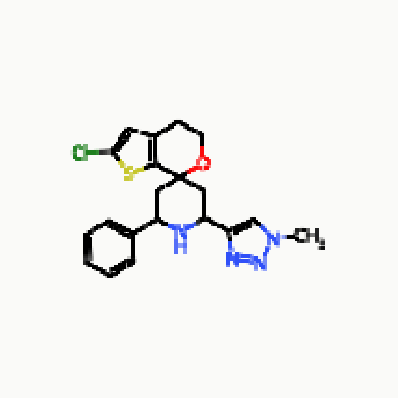 Cn1cc(C2CC3(CC(c4ccccc4)N2)OCCc2cc(Cl)sc23)nn1